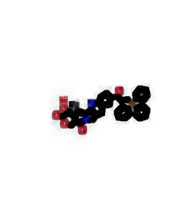 CCC1(O)C(=O)OCc2c1cc1n(c2=O)Cc2cc3cc(C(=O)CCS(c4ccccc4)(c4ccccc4)c4ccccc4)ccc3nc2-1